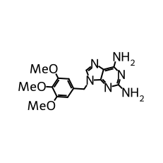 COc1cc(Cn2cnc3c(N)nc(N)nc32)cc(OC)c1OC